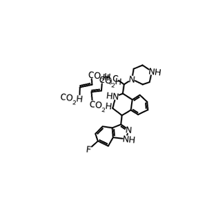 CC(C1NCC(c2n[nH]c3cc(F)ccc23)c2ccccc21)N1CCNCC1.O=C(O)C=CC(=O)O.O=C(O)C=CC(=O)O